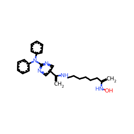 C=C(CCCCCCNC(=C)c1cnc(N(c2ccccc2)c2ccccc2)nc1)NO